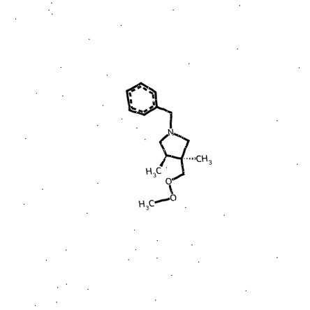 COOC[C@]1(C)CN(Cc2ccccc2)C[C@@H]1C